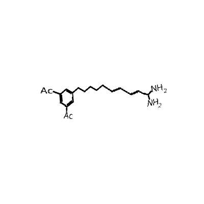 CC(=O)c1cc(CCCCCCCCCC(N)N)cc(C(C)=O)c1